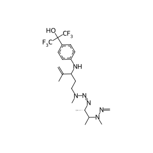 C=NN(C)C(C)[C@H](C)/N=N\N(C)CCC(Nc1ccc(C(O)(C(F)(F)F)C(F)(F)F)cc1)C(=C)C